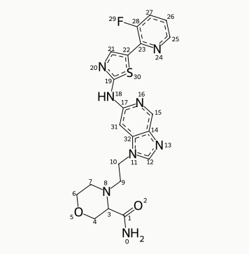 NC(=O)C1COCCN1CCn1cnc2cnc(Nc3ncc(-c4ncccc4F)s3)cc21